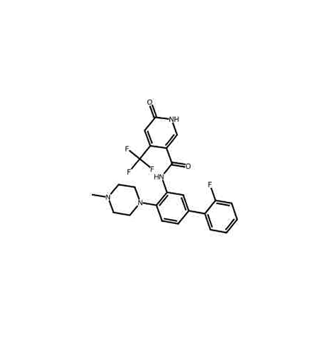 CN1CCN(c2ccc(-c3ccccc3F)cc2NC(=O)c2c[nH]c(=O)cc2C(F)(F)F)CC1